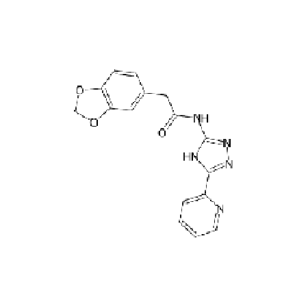 O=C(Cc1ccc2c(c1)OCO2)Nc1nnc(-c2ccccn2)[nH]1